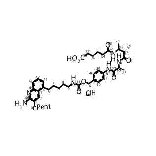 CCCCCc1cc2c(CCCCCNC(=O)OCc3ccc(NC(=O)[C@H](C)NC(=O)[C@@H](C)C(C)NC(=O)CCCCC(=O)O)cc3)cccc2nc1N.Cl